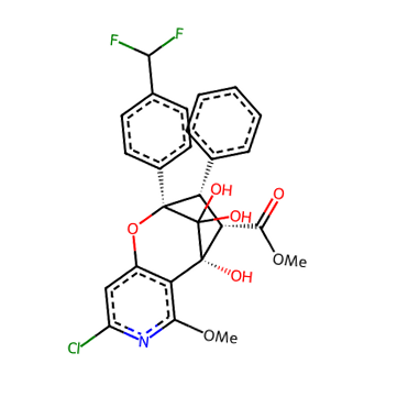 COC(=O)[C@H]1[C@@H](c2ccccc2)[C@]2(c3ccc(C(F)F)cc3)Oc3cc(Cl)nc(OC)c3[C@@]1(O)C2(O)O